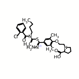 C=C(S/C(=N\N)c1cc(C)c(OCCN2CCCC2C(=O)O)c(C)c1)N(CCCC)C(=O)c1ccccc1Cl